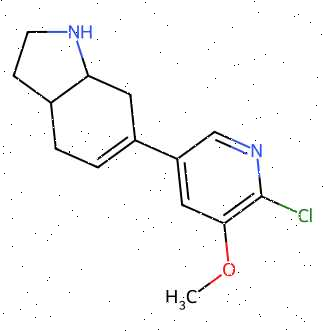 COc1cc(C2=CCC3CCNC3C2)cnc1Cl